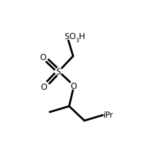 CC(C)CC(C)OS(=O)(=O)CS(=O)(=O)O